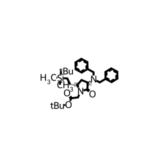 CC(C)(C)OC(=O)CN1C(=O)[C@@H](N(Cc2ccccc2)Cc2ccccc2)C[C@H]1CC[Si](C)(C)C(C)(C)C